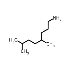 CC(C)CCC(C)CCCN